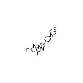 Fc1cnc(-n2cc(-c3ccc(N4CCSCC4)cc3)cn2)c(Cl)c1